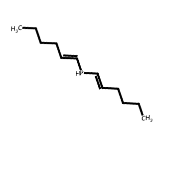 CCCCC=CPC=CCCCC